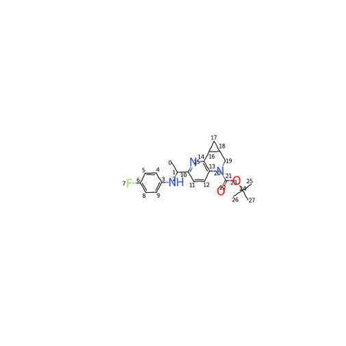 CC(Nc1ccc(F)cc1)c1ccc2c(n1)C1CC1CN2C(=O)OC(C)(C)C